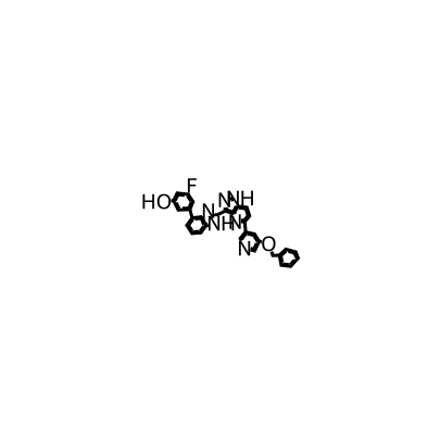 Oc1cc(F)cc(-c2cccc3[nH]c(-c4n[nH]c5ccc(-c6cncc(OCc7ccccc7)c6)nc45)nc23)c1